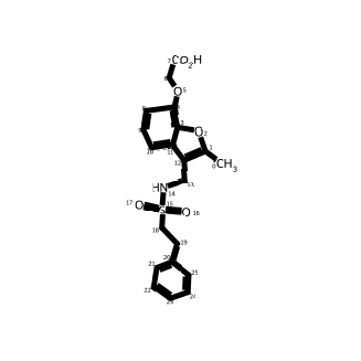 Cc1oc2c(OCC(=O)O)cccc2c1CNS(=O)(=O)CCc1ccccc1